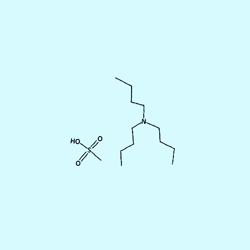 CCCCN(CCCC)CCCC.CS(=O)(=O)O